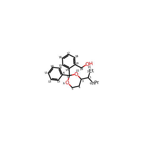 CCCC(CC)C1CCOC(c2ccccc2)(c2ccccc2CO)O1